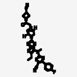 CCc1nc2sc(N3C[C@@H]4C[C@H]3CN4CC(=O)N3CC(C#N)C3)nn2c1N(C)c1nc(-c2ccc(F)cc2)c(C#N)s1